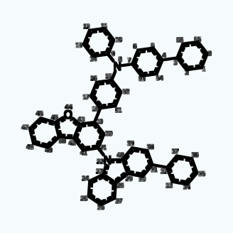 c1ccc(-c2ccc(N(c3ccccc3)c3ccc(-c4cc(-n5c6ccccc6c6cc(-c7ccccc7)ccc65)cc5c4oc4ccccc45)cc3)cc2)cc1